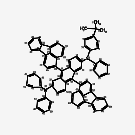 CC(C)(C)c1ccc(N(c2ccccc2)c2ccc3c(-c4ccc5c6c(cccc46)-c4ccccc4-5)c4cc(N(c5ccccc5)c5ccccc5)ccc4c(-c4ccc5c6c(cccc46)-c4ccccc4-5)c3c2)cc1